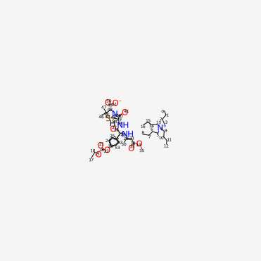 CCCC[N+](CCCC)(CCCC)CCCC.CCOC(=O)Oc1ccc(C(N/C(C)=C/C(=O)OC)C(=O)NC2C(=O)N3[C@@H]2SC(C)(C)[C@@H]3C(=O)[O-])cc1